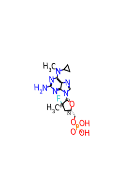 CN(c1nc(N)nc2c1ncn2[C@@H]1O[C@H](COP(=O)(O)O)C[C@@]1(C)F)C1CC1